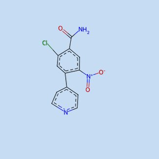 NC(=O)c1cc([N+](=O)[O-])c(-c2ccncc2)cc1Cl